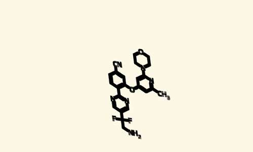 Cc1cc(Oc2cc(C#N)ccc2-c2ncc(C(F)(F)CN)cn2)cc(N2CCOCC2)n1